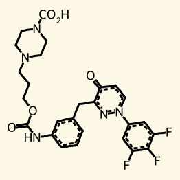 O=C(Nc1cccc(Cc2nn(-c3cc(F)c(F)c(F)c3)ccc2=O)c1)OCCCN1CCN(C(=O)O)CC1